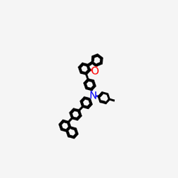 CC1C=CC(N(c2ccc(-c3ccc(-c4cccc5ccccc45)cc3)cc2)c2ccc(-c3cccc4c3oc3ccccc34)cc2)=CC1